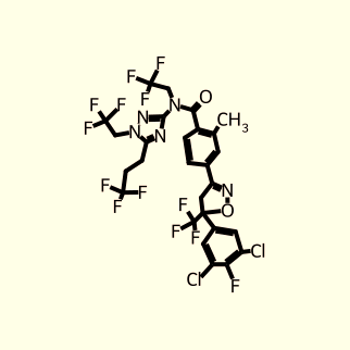 Cc1cc(C2=NOC(c3cc(Cl)c(F)c(Cl)c3)(C(F)(F)F)C2)ccc1C(=O)N(CC(F)(F)F)c1nc(CCC(F)(F)F)n(CC(F)(F)F)n1